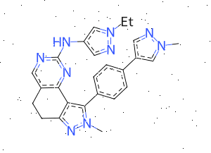 CCn1cc(Nc2ncc3c(n2)-c2c(nn(C)c2-c2ccc(-c4cnn(C)c4)cc2)CC3)cn1